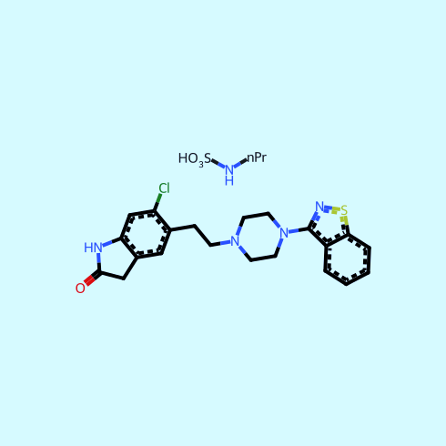 CCCNS(=O)(=O)O.O=C1Cc2cc(CCN3CCN(c4nsc5ccccc45)CC3)c(Cl)cc2N1